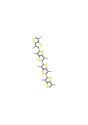 Cc1csc2c(C)c(-c3sc4c(C)c(-c5sc6c(C)c(-c7sc8c(C)csc8c7C)sc6c5C)sc4c3C)sc12